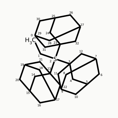 CCS(C12CC3CC(CC(C3)C1)C2)(C12CC3CC(CC(C3)C1)C2)C12CC3CC(CC(C3)C1)C2